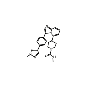 CNC(=O)N1CCN(c2cccc3ncc(-c4ccc(-c5cnn(C)c5)cc4)n23)CC1